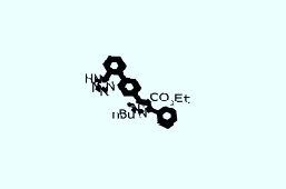 CCCC[N+]1(C)N=C(c2ccccc2)C(C(=O)OCC)=C1c1ccc(-c2ccccc2-c2nnn[nH]2)cc1